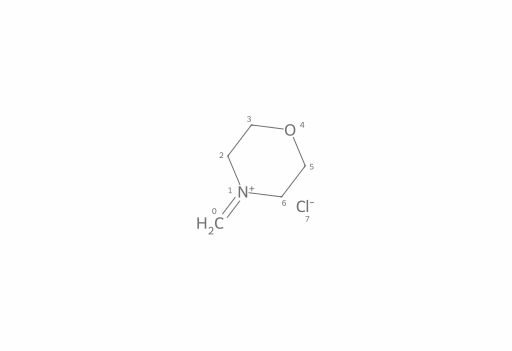 C=[N+]1CCOCC1.[Cl-]